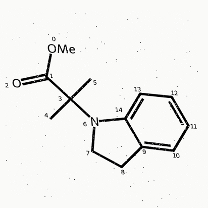 COC(=O)C(C)(C)N1CCc2ccccc21